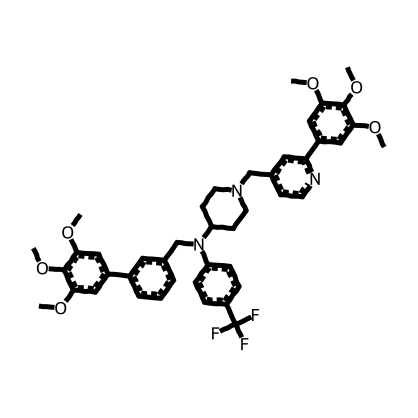 COc1cc(-c2cccc(CN(c3ccc(C(F)(F)F)cc3)C3CCN(Cc4ccnc(-c5cc(OC)c(OC)c(OC)c5)c4)CC3)c2)cc(OC)c1OC